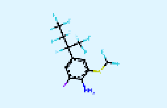 Nc1c(I)cc(C(F)(C(F)(F)F)C(F)(F)C(F)(F)F)cc1SC(F)F